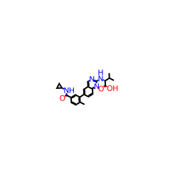 Cc1ccc(C(=O)NC2CC2)cc1-c1ccc2nc(N[C@H](C(=O)O)C(C)C)ncc2c1